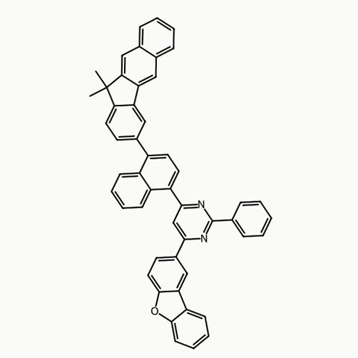 CC1(C)c2ccc(-c3ccc(-c4cc(-c5ccc6oc7ccccc7c6c5)nc(-c5ccccc5)n4)c4ccccc34)cc2-c2cc3ccccc3cc21